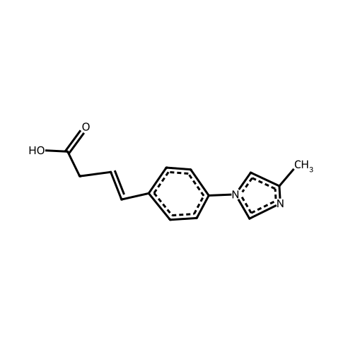 Cc1cn(-c2ccc(C=CCC(=O)O)cc2)cn1